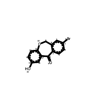 O=C1c2ccc(Br)cc2COc2ccc(O)cc21